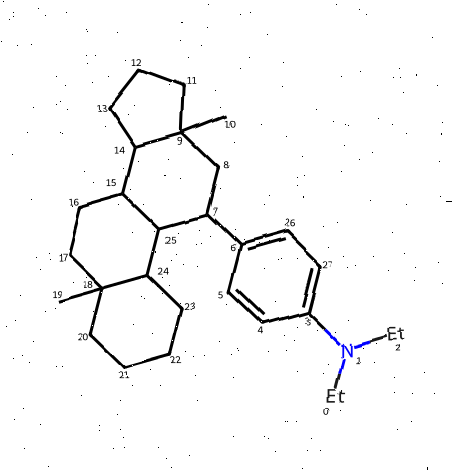 CCN(CC)c1ccc(C2CC3(C)CCCC3C3CCC4(C)CCCCC4C23)cc1